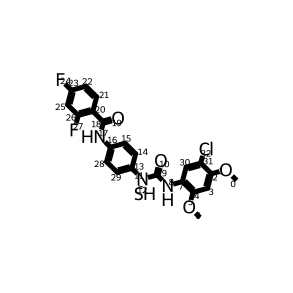 COc1cc(OC)c(NC(=O)N(S)c2ccc(NC(=O)c3ccc(F)cc3F)cc2)cc1Cl